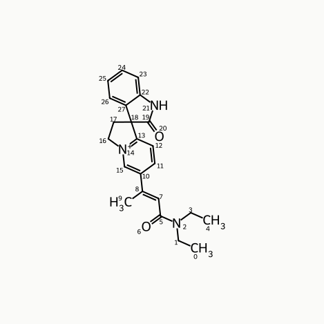 CCN(CC)C(=O)C=C(C)c1ccc2[n+](c1)CCC21C(=O)Nc2ccccc21